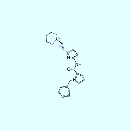 O=C(Nc1nc(/C=C/[C@@H]2CCCCO2)cs1)c1cccn1Cc1ccncc1